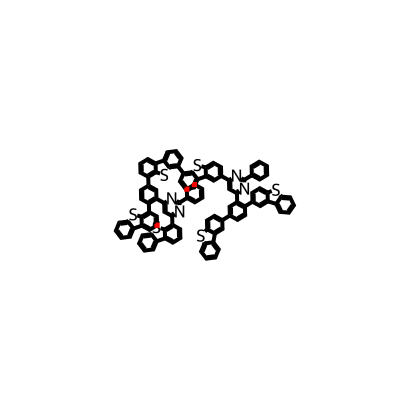 c1ccc(-c2nc(-c3ccc4sc5c(-c6cccc7c6sc6c(-c8ccc(-c9cccc%10c9sc9ccccc9%10)c(-c9cc(-c%10cccc%11c%10sc%10ccccc%10%11)nc(-c%10ccccc%10)n9)c8)cccc67)cccc5c4c3)cc(-c3cc(-c4ccc5sc6ccccc6c5c4)ccc3-c3ccc4sc5ccccc5c4c3)n2)cc1